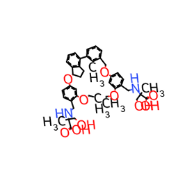 CCOc1cc(OCc2cccc(-c3cccc4c3CCC4Oc3ccc(CNC(C)(CO)C(=O)O)c(OCC)c3)c2C)ccc1CNC(C)(CO)C(=O)O